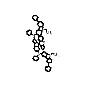 CCn1c2ccc(-c3ccccc3)cc2c2cc(N(C3=CC=C4C5=CC=C(N(c6ccccc6)c6ccc7c(c6)c6cc(-c8ccccc8)ccc6n7CC)CC5C5(c6ccccc6Sc6ccccc65)C4C3)c3ccccc3)ccc21